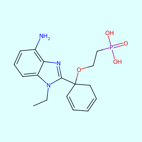 CCn1c(C2(OCCP(=O)(O)O)C=CC=CC2)nc2c(N)cccc21